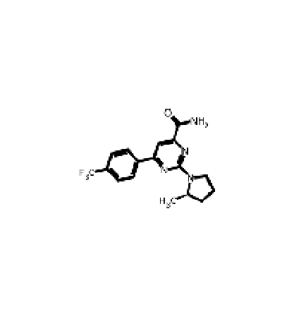 C[C@@H]1CCCN1c1nc(C(N)=O)cc(-c2ccc(C(F)(F)F)cc2)n1